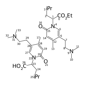 CCOC(=O)C(CC(C)C)n1cc(CCN(C)C)c(C)cc1=O.Cc1cc(=O)n(C(CC(C)C)C(=O)O)cc1CCN(C)C